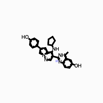 CCc1cc(O)ccc1/N=C(\N)c1cnn2cc(-c3ccc(O)cc3)cc2c1NC1CCCC1